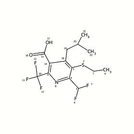 CCSc1c(C(F)F)nc(C(F)(F)F)c(C(=O)O)c1CC(C)C